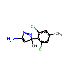 N#CC1(c2c(Cl)cc(C(F)(F)F)cc2Cl)C=C(N)N=N1